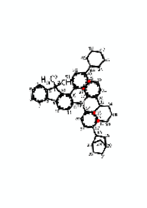 CC1(C)c2ccccc2-c2ccc(N(c3ccc(C4CC5CCC4C5)cc3)c3ccccc3C3CCCCC3)c(-c3ccc(C4CCCCC4)cc3)c21